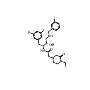 CCN1CCN(CC(=O)N[C@@H](Cc2cc(F)cc(F)c2)[C@@H](O)CNCc2cccc(I)c2)CC1=O